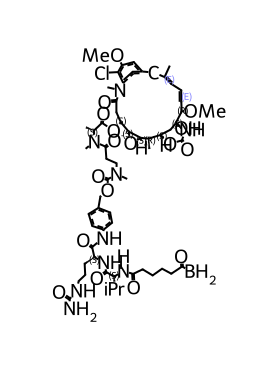 BC(=O)CCCCC(=O)N[C@H](C(=O)N[C@@H](CCCNC(N)=O)C(=O)Nc1ccc(COC(=O)N(C)CCC(=O)N(C)[C@@H](C)C(=O)O[C@H]2CC(=O)N(C)c3cc(cc(OC)c3Cl)C/C(C)=C/C=C/[C@@H](OC)[C@@]3(O)C[C@H](OC(=O)N3)[C@@H](C)[C@@H]3O[C@@]23C)cc1)C(C)C